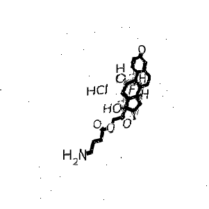 C[C@@H]1C[C@H]2[C@@H]3CCC4=CC(=O)C=C[C@]4(C)[C@@]3(F)[C@@H](O)C[C@]2(C)[C@@]1(O)C(=O)COC(=O)CCCN.Cl